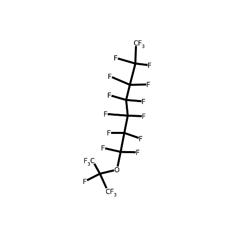 FC(F)(F)C(F)(F)C(F)(F)C(F)(F)C(F)(F)C(F)(F)C(F)(F)OC(F)(C(F)(F)F)C(F)(F)F